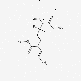 C=CC(C(=O)OC(C)(C)C)C(F)(F)CCC(C=CN)C(=O)OC(C)(C)C